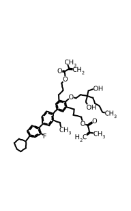 C=C(C)C(=O)OCCCc1cc(-c2ccc(-c3ccc(C4CCCCC4)cc3F)cc2CC)cc(CCCOC(=O)C(=C)C)c1OCCC(CO)(CO)CCCCC